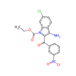 CCOC(=O)n1c(C(=O)c2cccc([N+](=O)[O-])c2)c(N)c2ccc(Cl)cc21